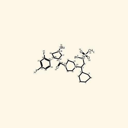 CC(C)N(CC(C1CCCCC1)N1CCN(C(=O)[C@H]2CN(C(C)(C)C)C[C@H]2c2ccc(F)cc2F)CC1)S(C)(=O)=O